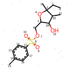 CCC1(C)OC(COS(=O)(=O)c2ccc(C)cc2)C(O)C1C